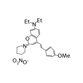 CCN(CC)c1ccc2c(C=Cc3ccc(OC)cc3)cc(=[N+]3CCCCC3)oc2c1.O=[N+]([O-])[O-]